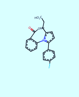 COC(=O)c1ccccc1-n1c(CCC(=O)O)ccc1-c1ccc(F)cc1